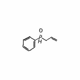 C=CC[PH](=O)c1ccccc1